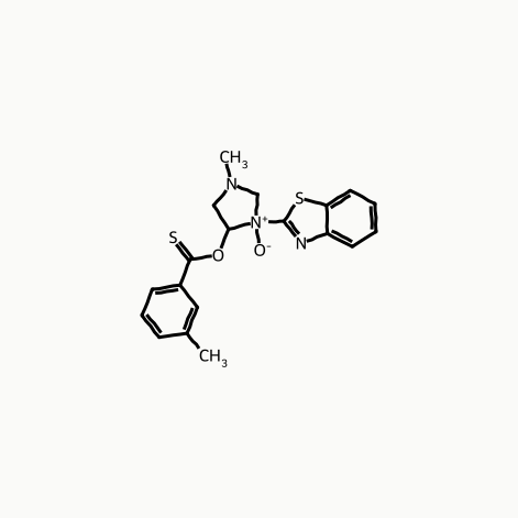 Cc1cccc(C(=S)OC2CN(C)C[N+]2([O-])c2nc3ccccc3s2)c1